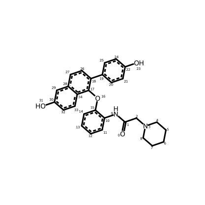 O=C(CN1CCCCC1)Nc1ccccc1Oc1c(-c2ccc(O)cc2)ccc2cc(O)ccc12